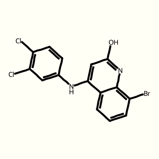 Oc1cc(Nc2ccc(Cl)c(Cl)c2)c2cccc(Br)c2n1